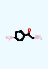 BCC(=O)c1ccc(B)cc1